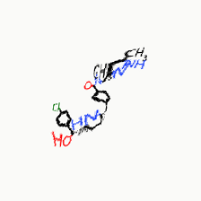 Cc1cc(CN(C)C(=O)c2ccc(C[C@@H]3CC[C@H](C(O)c4ccc(Cl)cc4)N3)cc2)n[nH]1